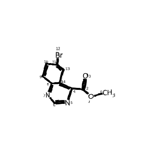 COC(=O)c1ncnc2ccc(Br)cc12